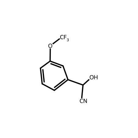 N#CC(O)c1cccc(OC(F)(F)F)c1